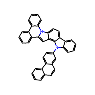 c1ccc2c(c1)ccc1cc(-n3c4ccccc4c4ccc5c(cc6c7ccccc7c7ccccc7n65)c43)ccc12